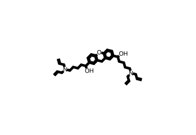 C=CCN(CC=C)CCCCC(O)c1ccc2c(c1)Cc1cc(C(O)CCCCN(CC=C)CC=C)ccc1O2